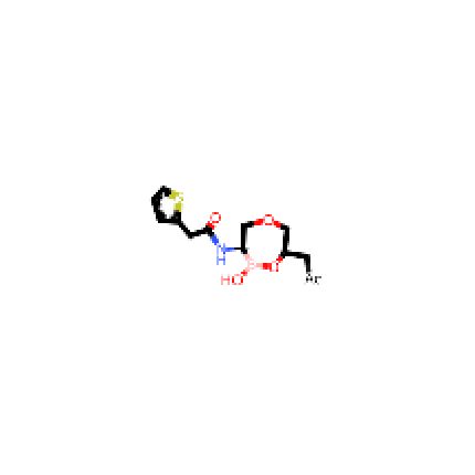 CC(=O)CC1COC[C@H](NC(=O)Cc2cccs2)B(O)O1